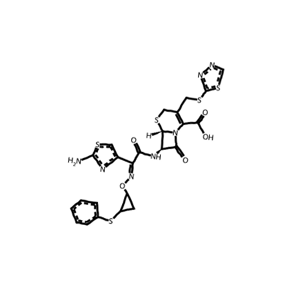 Nc1nc(C(=NOC2CC2Sc2ccccc2)C(=O)N[C@@H]2C(=O)N3C(C(=O)O)=C(CSc4nncs4)CS[C@@H]23)cs1